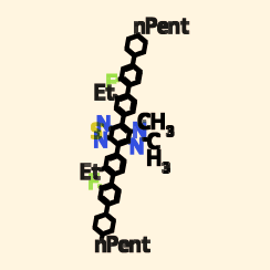 CCCCCC1CCC(c2ccc(-c3ccc(-c4c5nsnc5c(-c5ccc(-c6ccc(C7CCC(CCCCC)CC7)cc6F)c(CC)c5)c5c4nc(C)n5C)cc3CC)c(F)c2)CC1